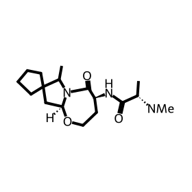 CN[C@@H](C)C(=O)N[C@H]1CCO[C@H]2CC3(CCCC3)C(C)N2C1=O